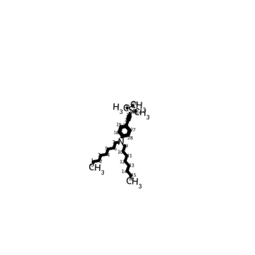 CCCCCCCCN(CCCCCCCC)c1ccc(C#C[Si](C)(C)C)cc1